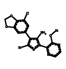 CCOc1nccnc1-n1nc(CC)c(-c2cc(Cl)c3c(c2)OCO3)c1N